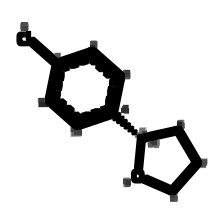 Clc1ccc([C@@H]2CCCO2)cc1